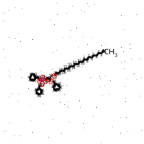 CCCCCCCCCCCCCCCCCCCCCCOC[C@H](COP(=O)(OCc1ccccc1)OCc1ccccc1)OCc1ccccc1